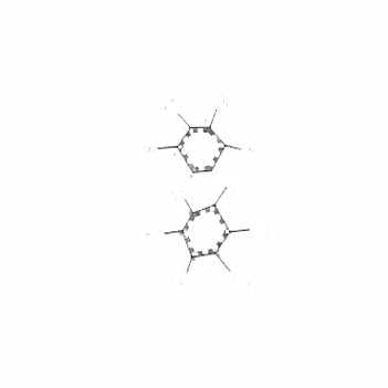 Cc1c(C)c(C)c(C)c(C)c1C.N#Cc1ccc(C#N)c(C#N)c1C#N